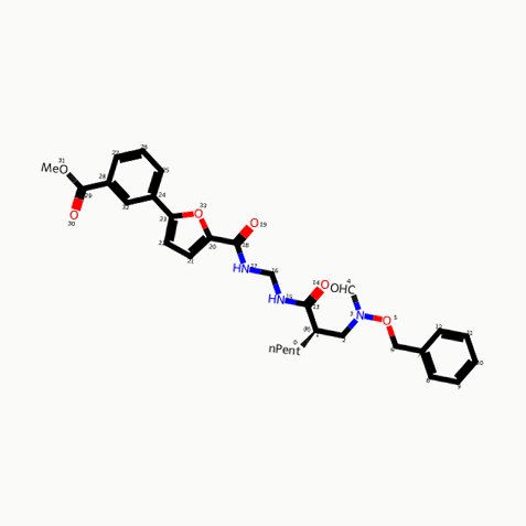 CCCCC[C@H](CN(C=O)OCc1ccccc1)C(=O)NCNC(=O)c1ccc(-c2cccc(C(=O)OC)c2)o1